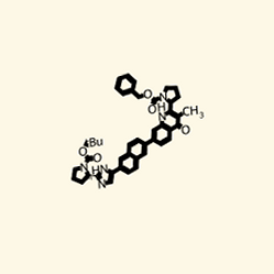 Cc1c(C2CCCN2C(=O)OCc2ccccc2)[nH]c2cc(-c3ccc4cc(-c5cnc([C@@H]6CCCN6C(=O)OC(C)(C)C)[nH]5)ccc4c3)ccc2c1=O